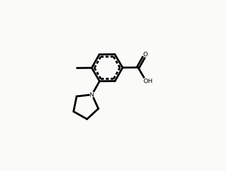 Cc1ccc(C(=O)O)cc1N1CCCC1